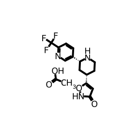 CC(=O)O.O=c1cc([C@H]2CCN[C@@H](c3ccc(C(F)(F)F)nc3)C2)o[nH]1